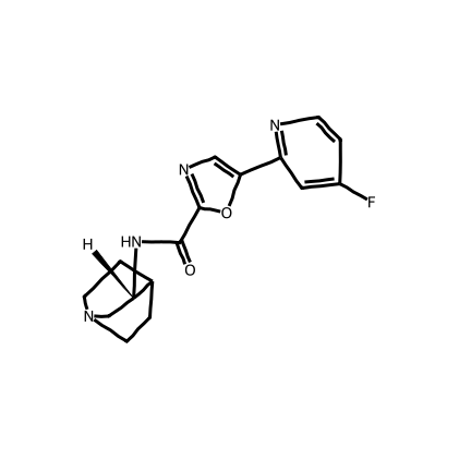 O=C(N[C@H]1CN2CCC1CC2)c1ncc(-c2cc(F)ccn2)o1